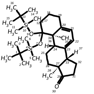 CC(C)(C)[Si](C)(C)OC1(O[Si](C)(C)C(C)(C)C)CCCC2=CC=C3[C@H](CC[C@]4(C)C(=O)CC[C@@H]34)[C@]21C